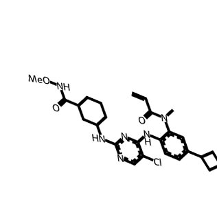 C=CC(=O)N(C)c1cc(C2CCC2)ccc1Nc1nc(NC2CCCC(C(=O)NOC)C2)ncc1Cl